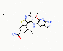 CCC1C[C@H](C(N)=O)Cc2sc3nc(C)nc(Nc4cc5cn[nH]c5nc4OC)c3c21